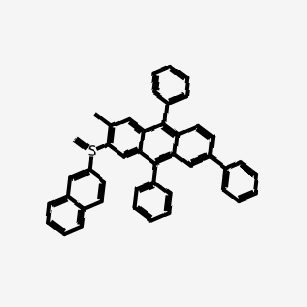 C=S(c1ccc2ccccc2c1)c1cc2c(-c3ccccc3)c3cc(-c4ccccc4)ccc3c(-c3ccccc3)c2cc1C